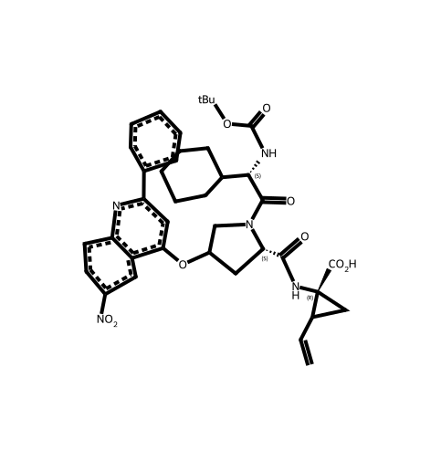 C=CC1C[C@]1(NC(=O)[C@@H]1CC(Oc2cc(-c3ccccc3)nc3ccc([N+](=O)[O-])cc23)CN1C(=O)[C@@H](NC(=O)OC(C)(C)C)C1CCCCC1)C(=O)O